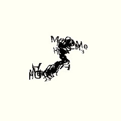 COC(=O)N[C@H](C(=O)N1[C@@H](C)CC[C@H]1c1ncc(-c2ccc3c(c2)COc2cc4c(ccc5nc([C@@H]6CC[C@H](C)N6C(=O)[C@@H](NC(=O)O)[C@@H](C)OC)[nH]c54)cc2-3)[nH]1)C(C)OC